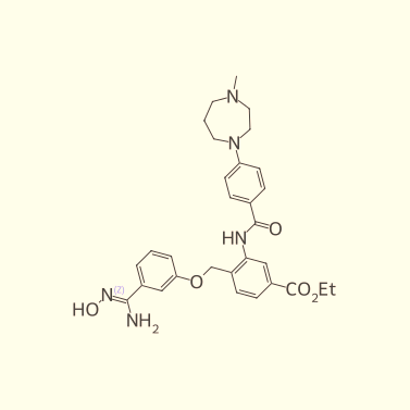 CCOC(=O)c1ccc(COc2cccc(/C(N)=N/O)c2)c(NC(=O)c2ccc(N3CCCN(C)CC3)cc2)c1